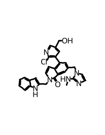 CNc1nccn1Cc1cc(-c2cc(CO)cnc2Cl)c2ccn(Cc3cc4ccccc4[nH]3)c(=O)c2c1